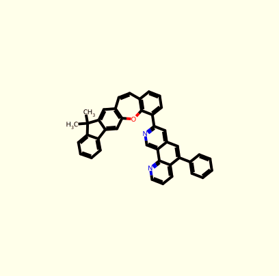 CC1(C)c2ccccc2-c2cc3c(cc21)C=Cc1cccc(-c2cc4cc(-c5ccccc5)c5cccnc5c4cn2)c1O3